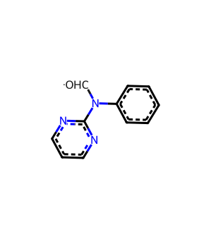 O=[C]N(c1ccccc1)c1ncccn1